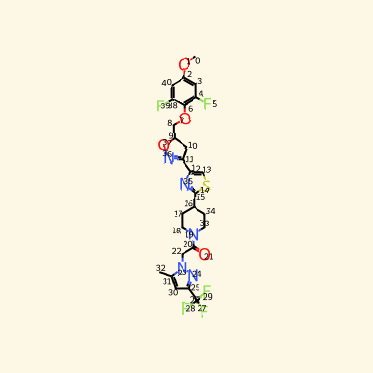 COc1cc(F)c(OCC2CC(c3csc(C4CCN(C(=O)Cn5nc(C(F)(F)F)cc5C)CC4)n3)=NO2)c(F)c1